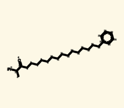 CC(C)C(C)C(=O)CCCCCCCCCCCCCCCc1ccccc1